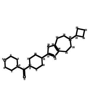 O=C(N1CCOCC1)N1CCC(c2nc3c(s2)CCN(C2CCC2)CC3)CC1